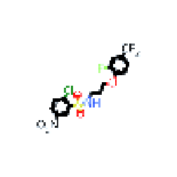 O=[N+]([O-])c1ccc(Cl)c(S(=O)(=O)NCCCOc2ccc(C(F)(F)F)cc2F)c1